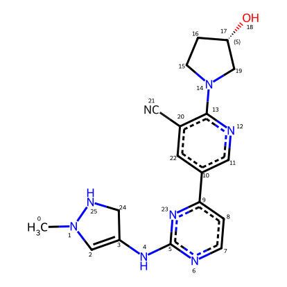 CN1C=C(Nc2nccc(-c3cnc(N4CC[C@H](O)C4)c(C#N)c3)n2)CN1